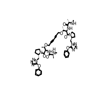 CN[C@@H](C)C(=O)NC(C(=O)N1CCC[C@H]1Cn1nnnc1Oc1ccccc1)[C@@H](C)OCC#CC#CCO[C@H](C)C(NC(=O)[C@H](C)NC)C(=O)N1CCC[C@H]1Cn1nnnc1Oc1ccccc1